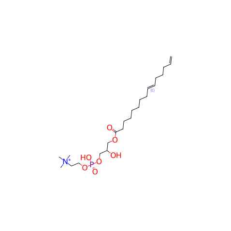 C=CCCC/C=C/CCCCCCCC(=O)OCC(O)COP(=O)(O)OCC[N+](C)(C)C